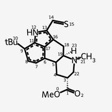 COC(=O)[C@@H]1CC2c3ccc(C(C)(C)C)c4[nH]c(C=S)c(c34)C[C@H]2N(C)C1